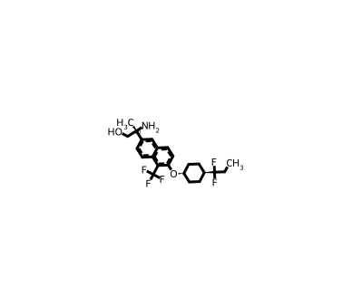 CCC(F)(F)[C@H]1CC[C@H](Oc2ccc3cc([C@@](C)(N)CO)ccc3c2C(F)(F)F)CC1